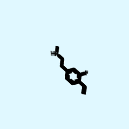 C=Cc1ccc(CCNC)cc1F